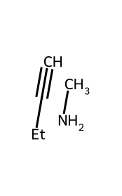 C#CCC.CN